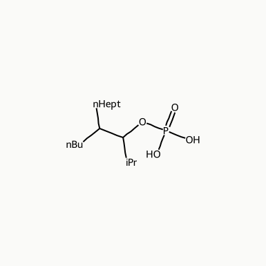 CCCCCCCC(CCCC)C(OP(=O)(O)O)C(C)C